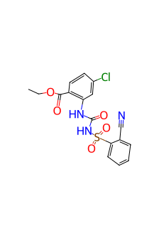 CCOC(=O)c1ccc(Cl)cc1NC(=O)NS(=O)(=O)c1ccccc1C#N